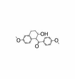 COc1ccc(C(=O)[C]2[C](O)CCc3cc(OC)ccc32)cc1